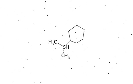 C[SH](C)C1CCCCC1